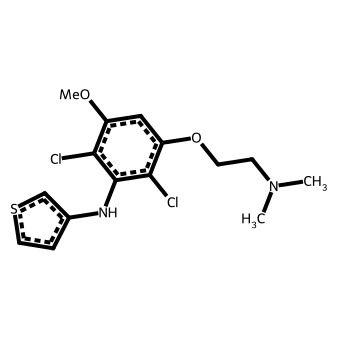 COc1cc(OCCN(C)C)c(Cl)c(Nc2ccsc2)c1Cl